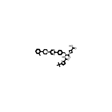 Cc1ccccc1C1CCN(c2cnc(-c3ccc(C[C@H](NC(=O)c4ccc(C(C)(C)C)s4)C(=O)N4CC(C(=O)O)C4)cc3)nc2)CC1